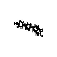 Nc1nc(-c2ccc(N3CCNCC3)nc2)cnc1Cl